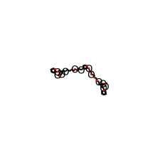 CC(=O)OC(COCCCCOCCOc1cccc(OCCOCCCCOCC(COc2ccccc2)OC(C)=O)c1)COc1ccccc1